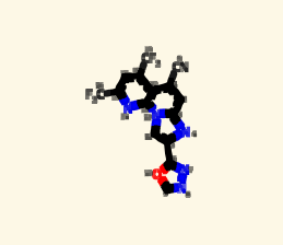 N#Cc1cc2nc(-c3nnco3)cn2c2nc(C(F)(F)F)cc(C(F)(F)F)c12